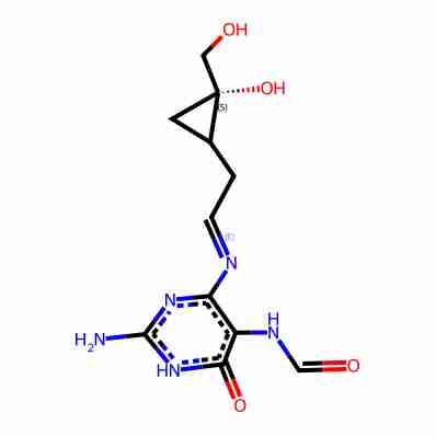 Nc1nc(/N=C/CC2C[C@@]2(O)CO)c(NC=O)c(=O)[nH]1